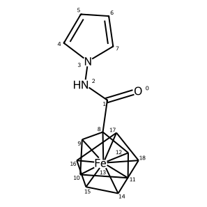 O=C(Nn1cccc1)[C]12[CH]3[CH]4[CH]5[CH]1[Fe]45321678[CH]2[CH]1[CH]6[CH]7[CH]28